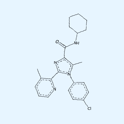 Cc1cccnc1-c1nc(C(=O)NC2CCCCC2)c(C)n1-c1ccc(Cl)cc1